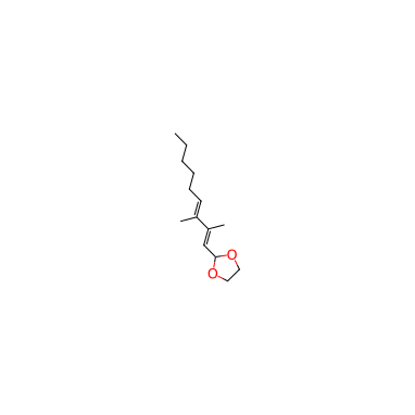 CCCCC/C=C(C)/C(C)=C/C1OCCO1